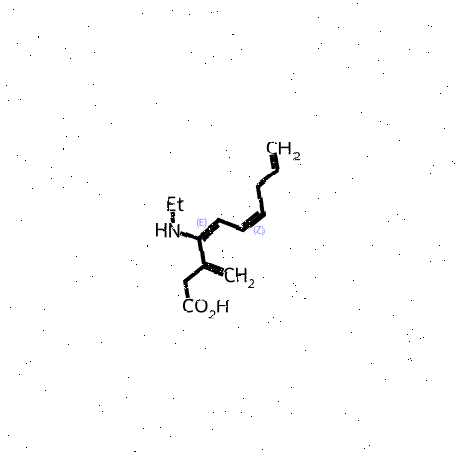 C=CC/C=C\C=C(\NCC)C(=C)CC(=O)O